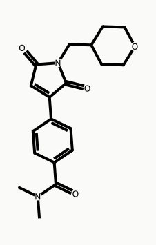 CN(C)C(=O)c1ccc(C2=CC(=O)N(CC3CCOCC3)C2=O)cc1